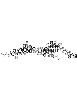 CCCCCOC(=O)Nc1ccn([C@@H]2O[C@H](C)[C@@H](OC(=O)OCc3ccc(NC(=O)[C@H](CC(N)=O)NC(=O)[C@H](C)NC(=O)[C@H](C)NC(=O)CCCCCCC(=O)NO)cc3)[C@H]2O)c(=O)n1